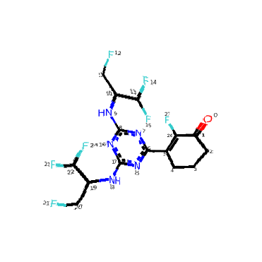 O=C1CCCC(c2nc(NC(CF)C(F)F)nc(NC(CF)C(F)F)n2)=C1F